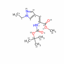 CCn1cc(C=C(NC(=O)OC(C)(C)C)C(=O)OC)cn1